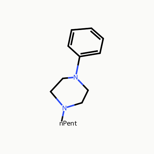 [CH2]CCCCN1CCN(c2ccccc2)CC1